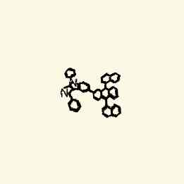 C1=NC(c2ccccc2)c2c1n(-c1ccccc1)c1ccc(-c3ccc4c(-c5cccc6ccccc56)c5ccccc5c(-c5cccc6ccccc56)c4c3)cc21